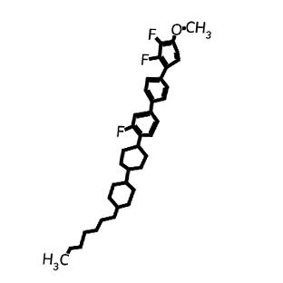 CCCCCCCC1CCC(C2CCC(c3ccc(-c4ccc(-c5ccc(OC)c(F)c5F)cc4)cc3F)CC2)CC1